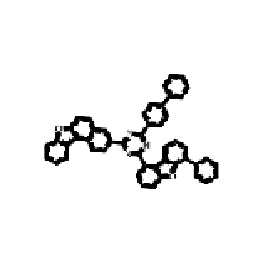 c1ccc(-c2ccc(-c3nc(-c4ccc5c(ccc6oc7ccccc7c65)c4)nc(-c4cccc5oc6c(-c7ccccc7)cccc6c45)n3)cc2)cc1